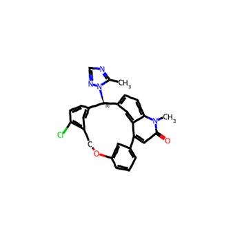 Cc1ncnn1[C@@H]1c2ccc(Cl)c(c2)COc2cccc(c2)-c2cc(=O)n(C)c3ccc1cc23